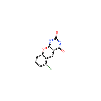 O=c1nc2oc3cccc(Cl)c3cc-2c(=O)[nH]1